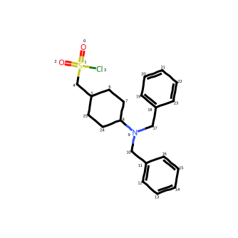 O=S(=O)(Cl)CC1CCC(N(Cc2ccccc2)Cc2ccccc2)CC1